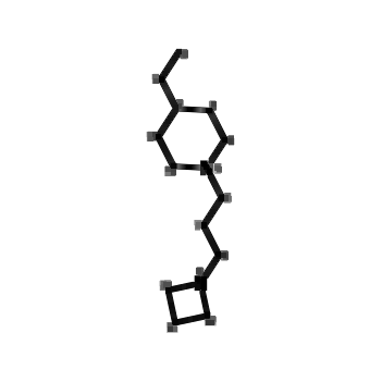 [CH2]CC1CCN(CCCN2CCC2)CC1